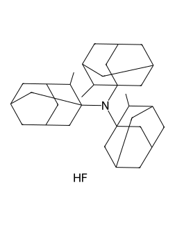 CC1C2CC3CC(C2)CC1(N(C12CC4CC(CC(C4)C1C)C2)C12CC4CC(CC(C4)C1C)C2)C3.F